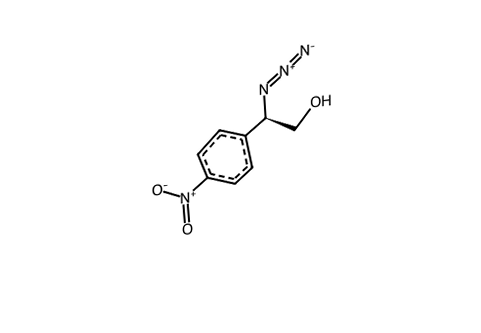 [N-]=[N+]=N[C@@H](CO)c1ccc([N+](=O)[O-])cc1